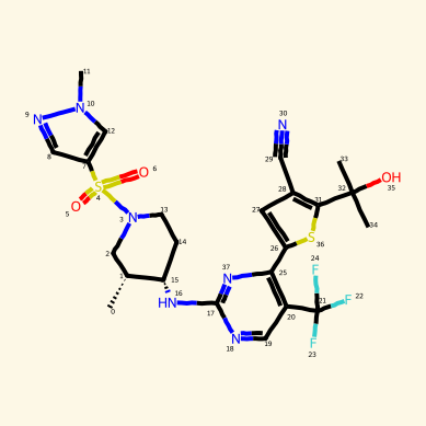 C[C@@H]1CN(S(=O)(=O)c2cnn(C)c2)CC[C@@H]1Nc1ncc(C(F)(F)F)c(-c2cc(C#N)c(C(C)(C)O)s2)n1